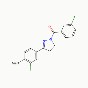 COc1ccc(C2=NN(C(=O)c3cccc(F)c3)CC2)cc1F